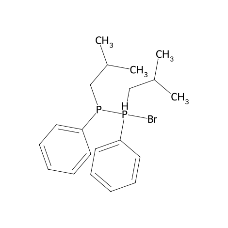 CC(C)CP(c1ccccc1)[PH](Br)(CC(C)C)c1ccccc1